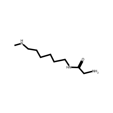 CNCCCCCCNC(=O)CN